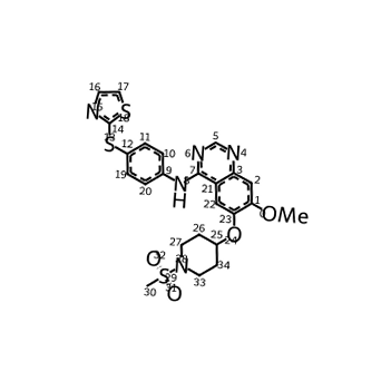 COc1cc2ncnc(Nc3ccc(Sc4nccs4)cc3)c2cc1OC1CCN(S(C)(=O)=O)CC1